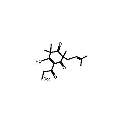 CCCCCCCCCCCC(=O)C1=C(O)C(C)(C)C(=O)C(C)(CC=C(C)C)C1=O